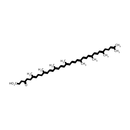 CC(C)=CCC/C(C)=C/C=C/C(C)=C/C=C/C(C)=C/C=C/C=C(C)/C=C/C=C(C)/C=C/C=C(\C)CC/C=C(\C)CCC(=O)CCC(=O)O